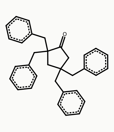 O=C1CC(Cc2ccccc2)(Cc2ccccc2)CC1(Cc1ccccc1)Cc1ccccc1